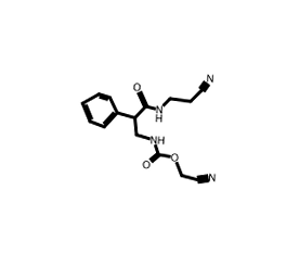 N#CCCNC(=O)C(CNC(=O)OCC#N)c1ccccc1